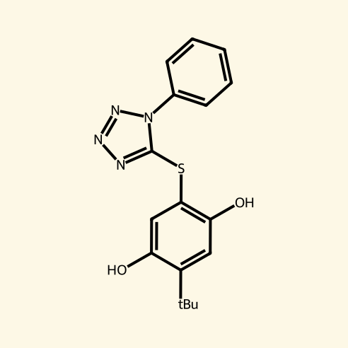 CC(C)(C)c1cc(O)c(Sc2nnnn2-c2ccccc2)cc1O